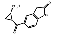 O=C1Cc2cc(C(=O)[C@H]3C[C@H]3C(=O)O)ccc2N1